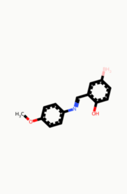 Bc1ccc(O)c(/C=N/c2ccc(OC)cc2)c1